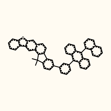 CC1(C)c2ccc(-c3cccc(-c4c5ccccc5c(-c5cccc6ccccc56)c5ccccc45)c3)cc2-c2ccc3cc4oc5ccccc5c4cc3c21